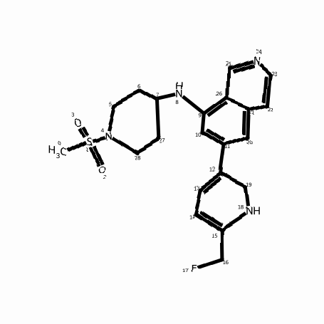 CS(=O)(=O)N1CCC(Nc2cc(C3=CC=C(CF)NC3)cc3ccncc23)CC1